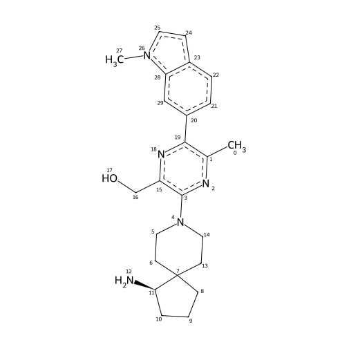 Cc1nc(N2CCC3(CCC[C@H]3N)CC2)c(CO)nc1-c1ccc2ccn(C)c2c1